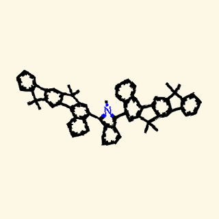 Cn1c(-c2cc3c(c4ccccc24)-c2cc4c(cc2C3(C)C)-c2ccccc2C4(C)C)c2ccccc2c1-c1cc2c(c3ccccc13)-c1cc3c(cc1C2(C)C)-c1ccccc1C3(C)C